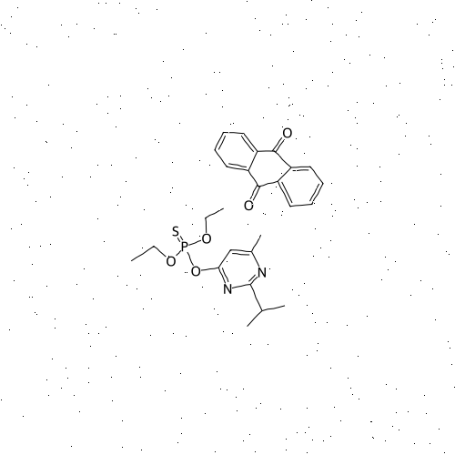 CCOP(=S)(OCC)Oc1cc(C)nc(C(C)C)n1.O=C1c2ccccc2C(=O)c2ccccc21